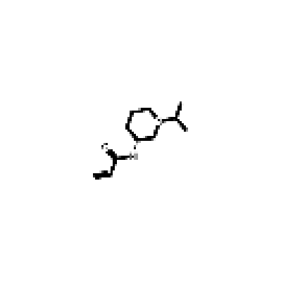 C=CC(=O)N[C@@H]1CCCN(C(C)C)C1